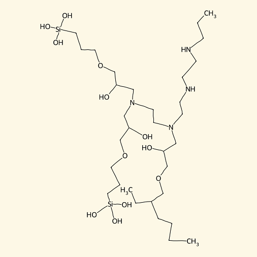 CCCCC(CC)COCC(O)CN(CCNCCNCCC)CCN(CC(O)COCCC[Si](O)(O)O)CC(O)COCCC[Si](O)(O)O